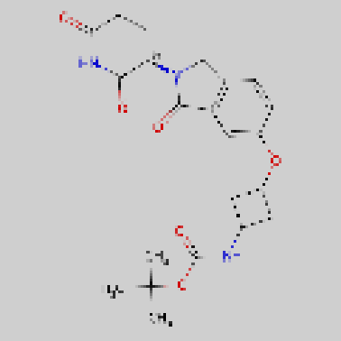 CC(C)(C)OC(=O)NC1CC(Oc2ccc3c(c2)C(=O)N([C@@H]2CCC(=O)NC2=O)C3)C1